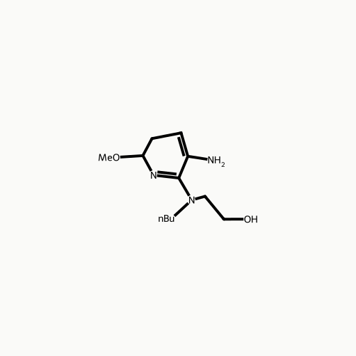 CCCCN(CCO)C1=NC(OC)CC=C1N